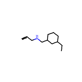 C=CCNCC1CCCC(CC)C1